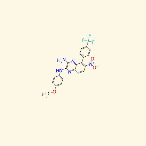 COc1ccc(Nc2nc3ccc([N+](=O)[O-])c(-c4ccc(C(F)(F)F)cc4)c3nc2N)cc1